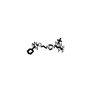 Cn1c(OCCCN2CCN(c3cc(C(F)(F)F)nc(C(C)(C)C)n3)CC2)nnc1-c1ccccc1